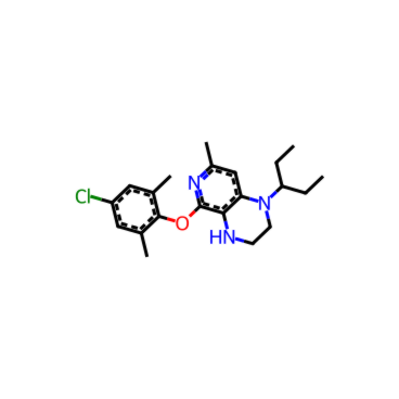 CCC(CC)N1CCNc2c1cc(C)nc2Oc1c(C)cc(Cl)cc1C